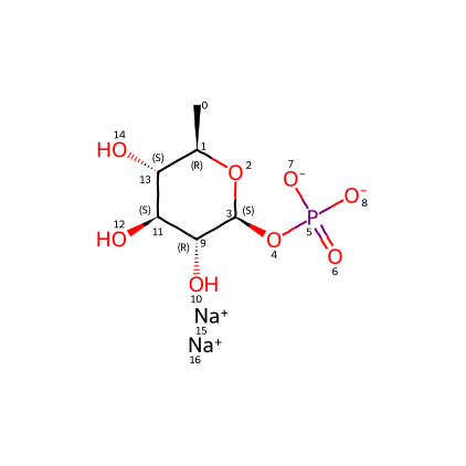 C[C@H]1O[C@@H](OP(=O)([O-])[O-])[C@H](O)[C@@H](O)[C@@H]1O.[Na+].[Na+]